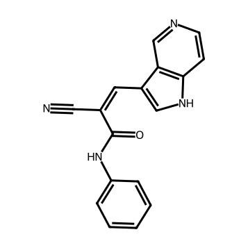 N#C/C(=C/c1c[nH]c2ccncc12)C(=O)Nc1ccccc1